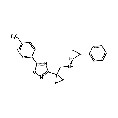 FC(F)(F)c1ccc(-c2nc(C3(CN[C@H]4CC4c4ccccc4)CC3)no2)cn1